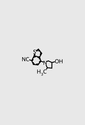 CC1CC(O)CN1c1ccc(C#N)c2sccc12